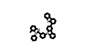 Cc1cccc2nc(-c3cccc(-n4c5ccccc5c5cc(-c6cccc7c6sc6ccccc67)ccc54)c3)n(-c3ccccc3)c12